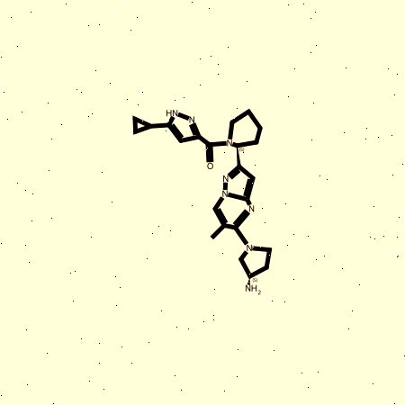 Cc1cn2nc([C@@H]3CCCCN3C(=O)c3cc(C4CC4)[nH]n3)cc2nc1N1CC[C@H](N)C1